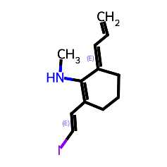 C=C/C=C1\CCCC(/C=C/I)=C1NC